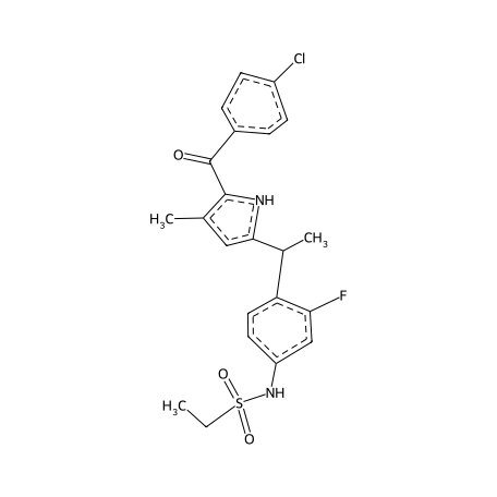 CCS(=O)(=O)Nc1ccc(C(C)c2cc(C)c(C(=O)c3ccc(Cl)cc3)[nH]2)c(F)c1